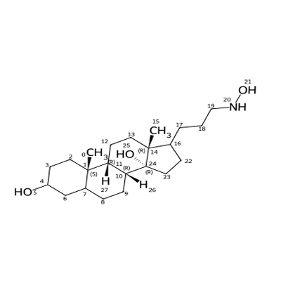 C[C@]12CCC(O)CC1CC[C@@H]1[C@H]2CC[C@]2(C)C(CCCNO)CC[C@@]12O